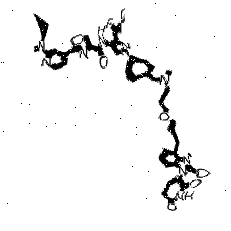 CN(CCCOCCCc1cccc2c1n(C)c(=O)n2[C@@H]1CCC(=O)NC1=O)CC1CCC(n2cc(NC(=O)c3coc(-c4ccnc(N(C)C5CC5)c4)n3)c(C(F)F)n2)CC1